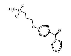 C[Si](Cl)(Cl)CCCOc1ccc(C(=O)c2ccccc2)cc1